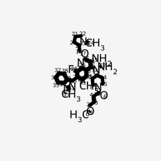 COC/C=C/C(=O)N1CCC(N(N)c2c(N)c(OCC3CCCN3C)nc3c(F)c(-c4nn(C)c5ccccc45)c(C)cc23)CC1